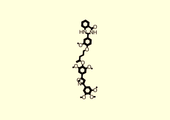 C=C(CCCOc1ccc(C2NC(=O)c3ccccc3N2)cc1OC)Oc1c(OC)cc(-c2cc(-c3cc(OC)c(OC)c(OC)c3)no2)cc1OC